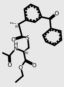 CCOC(=O)[C@H](CSC(=O)[C@H](C)c1cccc(C(=O)c2ccccc2)c1)NC(C)=O